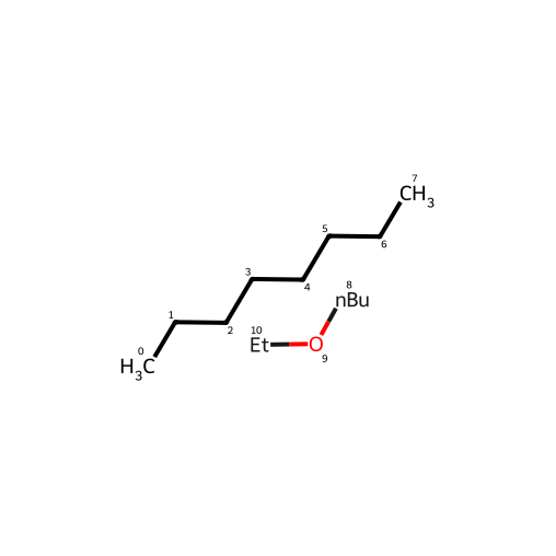 CCCCCCCC.CCCCOCC